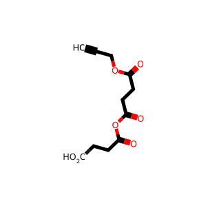 C#CCOC(=O)CCC(=O)OC(=O)CCC(=O)O